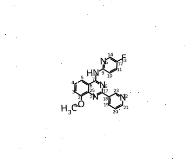 COc1cccc2c(Nc3ccc(F)cn3)nc(-c3cccnc3)nc12